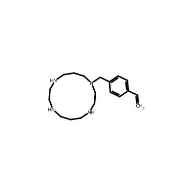 C=Cc1ccc(CN2CCCNCCNCCCNCC2)cc1